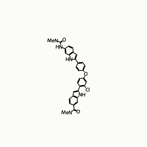 CNC(=O)Nc1ccc2cc(-c3ccc(Oc4ccc(-c5cc6ccc(C(=O)NC)cc6[nH]5)c(Cl)c4)cc3)[nH]c2c1